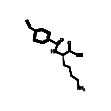 C=Cc1ccc(C(=O)N[C@@H](CCCCN)C(=O)O)cc1